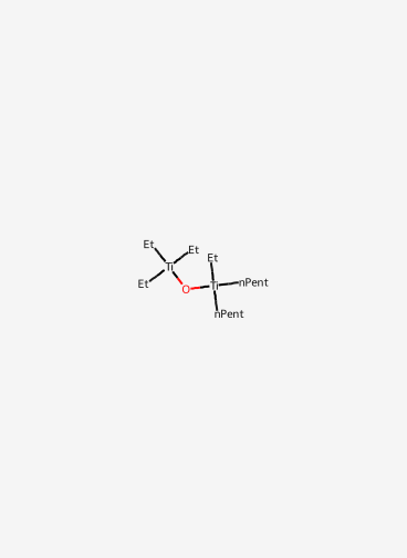 CCCC[CH2][Ti]([CH2]C)([CH2]CCCC)[O][Ti]([CH2]C)([CH2]C)[CH2]C